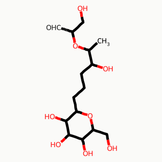 CC(OC(C=O)CO)C(O)CCCC1OC(CO)C(O)C(O)C1O